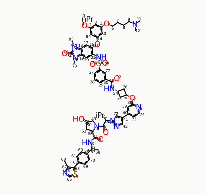 CCCOc1cc(OCCCCN(C)C)cc(Oc2cc3c(cc2NS(=O)(=O)c2cccc(C(=O)N[C@H]4C[C@H](Oc5cc(-c6cnn(C(C(=O)N7C[C@H](O)C[C@H]7C(=O)N[C@@H](C)c7ccc(-c8scnc8C)cc7)C(C)C)c6)ccn5)C4)c2)n(C)c(=O)n3C)c1